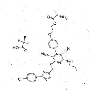 CCCNc1nc(SCc2csc(-c3ccc(Cl)cc3)n2)c(C#N)c(-c2ccc(OCCOC(=O)[C@H](C)N)cc2)c1C#N.O=C(O)C(F)(F)F